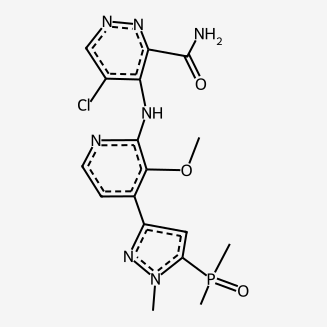 COc1c(-c2cc(P(C)(C)=O)n(C)n2)ccnc1Nc1c(Cl)cnnc1C(N)=O